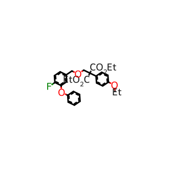 CCOC(=O)C(COCc1ccc(F)c(Oc2ccccc2)c1)(C(=O)OCC)c1ccc(OCC)cc1